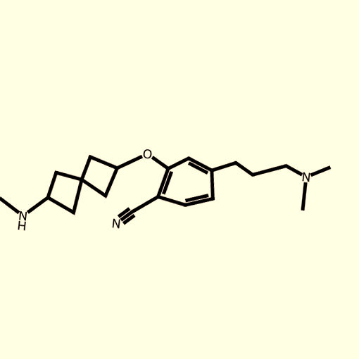 CN(C)CCCc1ccc(C#N)c(OC2CC3(CC(NCl)C3)C2)c1